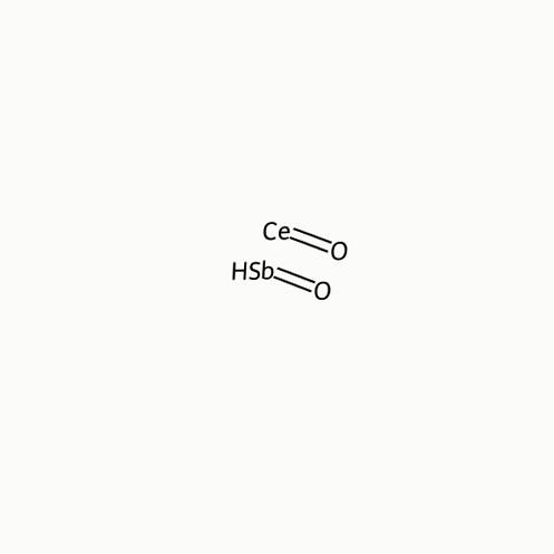 [O]=[Ce].[O]=[SbH]